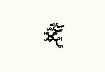 CC(C)CC(=O)O.CC(C)CC(=O)O.O=C1O[C@H]([C@@H](O)CO)C(O)=C1O